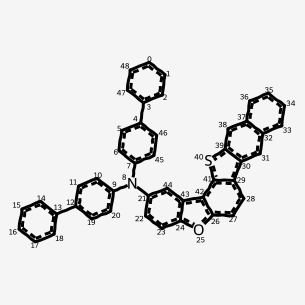 c1ccc(-c2ccc(N(c3ccc(-c4ccccc4)cc3)c3ccc4oc5ccc6c7cc8ccccc8cc7sc6c5c4c3)cc2)cc1